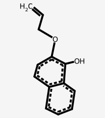 C=CCOc1ccc2ccccc2c1O